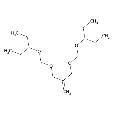 C=C(COCOC(CC)CC)COCOC(CC)CC